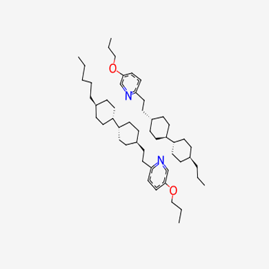 CCCCC[C@H]1CC[C@H]([C@H]2CC[C@H](CCc3ccc(OCCC)cn3)CC2)CC1.CCCOc1ccc(CC[C@H]2CC[C@H]([C@H]3CC[C@H](CCC)CC3)CC2)nc1